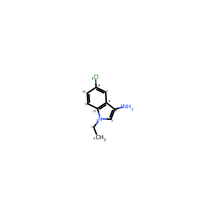 CCn1cc(N)c2cc(Cl)ccc21